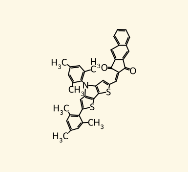 Cc1cc(C)c(-c2cc3c(s2)c2sc(C=C4C(=O)c5cc6ccccc6cc5C4=O)cc2n3-c2c(C)cc(C)cc2C)c(C)c1